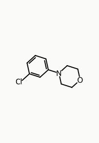 Clc1cccc(N2CCOCC2)c1